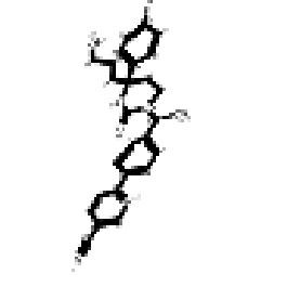 C[C@@H](c1ccc(-c2ccc(C#N)cn2)cc1)N1CCC(CCCO)(c2ccc(F)cc2)OC1=O